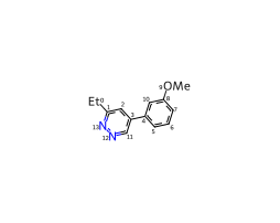 CCc1cc(-c2cccc(OC)c2)cnn1